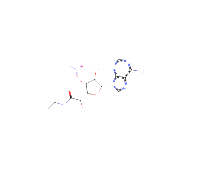 CCNC(=O)C(O)[C@H]1O[C@@H](n2cnc3c(N)ncnc32)[C@H](O)[C@@H]1O[N+](=O)[O-]